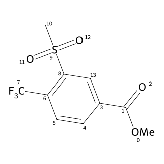 COC(=O)c1ccc(C(F)(F)F)c(S(C)(=O)=O)c1